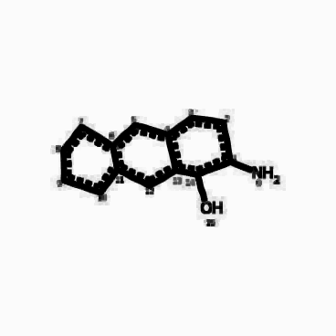 Nc1ccc2cc3ccccc3cc2c1O